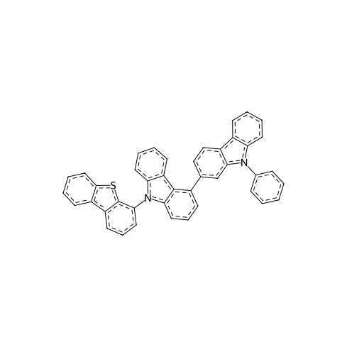 c1ccc(-n2c3ccccc3c3ccc(-c4cccc5c4c4ccccc4n5-c4cccc5c4sc4ccccc45)cc32)cc1